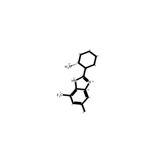 Cc1cc(C(F)(F)F)c2[nH]c(C3CCCC[C@H]3N)nc2c1